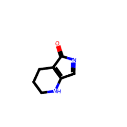 O=C1N=CC2=C1CCCN2